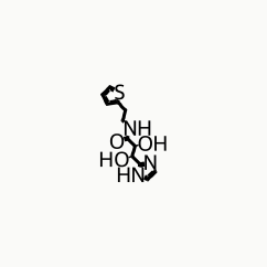 O=C(NCCc1cccs1)[C@H](O)[C@@H](O)c1ncc[nH]1